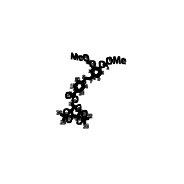 COCOc1ccc(C=Cc2ccc(C(=O)OCC3OC4OC(C)(C)OC4C4OC(C)(C)OC34)cc2)cc1OCOC